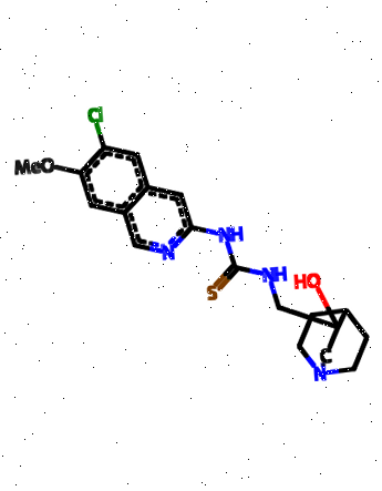 COc1cc2cnc(NC(=S)NCC3(O)CN4CCC3CC4)cc2cc1Cl